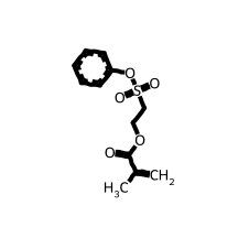 C=C(C)C(=O)OCCS(=O)(=O)Oc1ccccc1